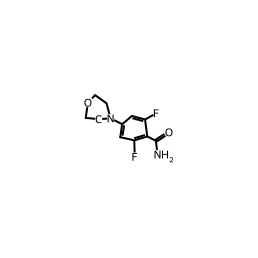 NC(=O)c1c(F)cc(N2CCOCC2)cc1F